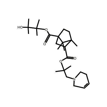 CC(C)(CN1CC=CCC1)OC(=O)C1CC2(C(=O)OC(C)(C)C(C)(C)O)CCC1(C)C2(C)C